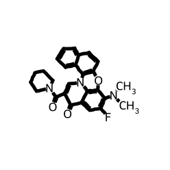 CN(C)c1c(F)cc2c(=O)c(C(=O)N3CCCCC3)cn3c2c1Oc1ccc2ccccc2c1-3